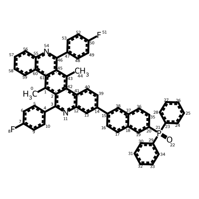 Cc1c2c(-c3ccc(F)cc3)nc3cc(-c4ccc5cc(P(=O)(c6ccccc6)c6ccccc6)ccc5c4)ccc3c2c(C)c2c(-c3ccc(F)cc3)nc3ccccc3c12